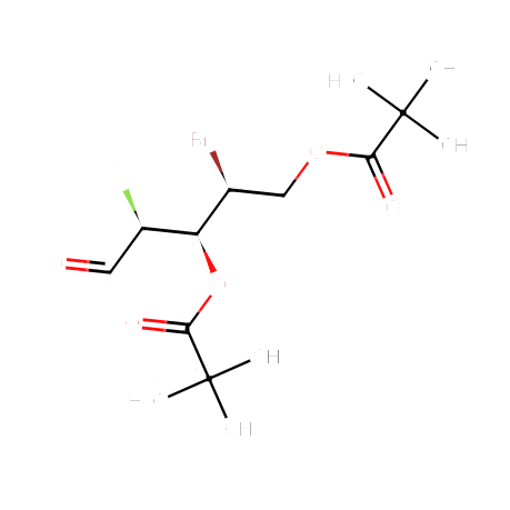 CC(C)(C)C(=O)OC[C@H](Br)[C@@H](OC(=O)C(C)(C)C)[C@H](F)C=O